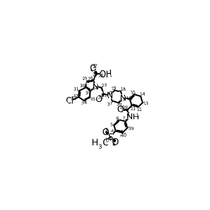 CS(=O)(=O)c1ccc(NC(=O)C2=CCCC=C2N2CCN(C(=O)Cn3c(C(=O)O)cc4cc(Cl)ccc43)CC2)cc1